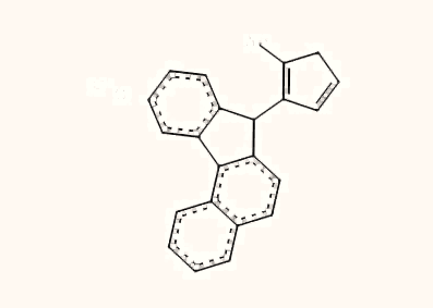 [Cl-].[Cl-].[Zr+2][C]1=C(C2c3ccccc3-c3c2ccc2ccccc32)C=CC1